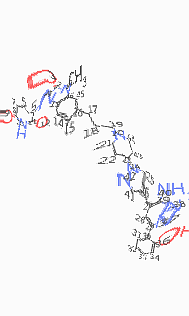 Cn1c(=O)n(C2CCC(=O)NC2=O)c2ccc(CCCN3CCC(n4cc(-c5cc(-c6ccccc6O)nnc5N)cn4)CC3)cc21